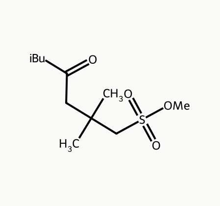 CCC(C)C(=O)CC(C)(C)CS(=O)(=O)OC